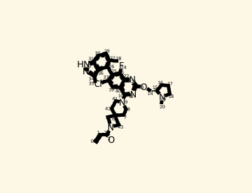 C=CC(=O)N1CC2(CCN(c3nc(OC[C@@H]4CCCN4C)nc4c(F)c(-c5c(C)ccc6[nH]nc(C)c56)c(Cl)cc34)CC2)C1